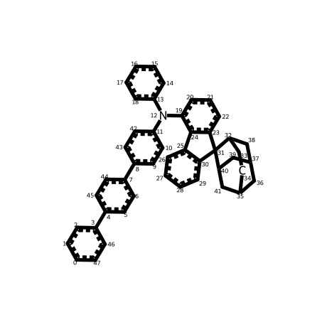 c1ccc(-c2ccc(-c3ccc(N(c4ccccc4)c4cccc5c4-c4ccccc4C54C5CCC6CC(C5)CC4C6)cc3)cc2)cc1